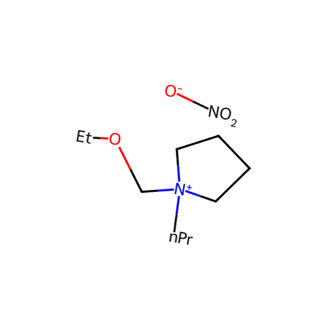 CCC[N+]1(COCC)CCCC1.O=[N+]([O-])[O-]